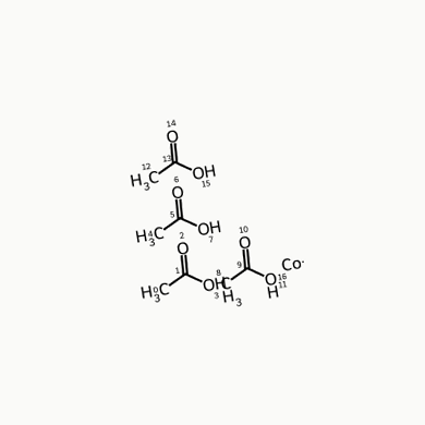 CC(=O)O.CC(=O)O.CC(=O)O.CC(=O)O.[Co]